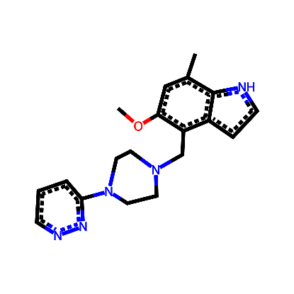 COc1cc(C)c2[nH]ccc2c1CN1CCN(c2cccnn2)CC1